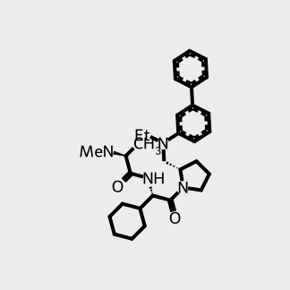 CCN(C[C@@H]1CCCN1C(=O)[C@@H](NC(=O)[C@H](C)NC)C1CCCCC1)c1cccc(-c2ccccc2)c1